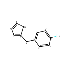 Fc1ccc(CC2=CC=CC2)cc1